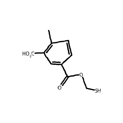 Cc1ccc(C(=O)OCS)cc1C(=O)O